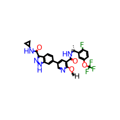 [2H]COc1ncc(-c2ccc3c(C(=O)NC4CC4)n[nH]c3c2)cc1C(=O)N[C@H](C)c1cc(OC(F)(F)F)ccc1F